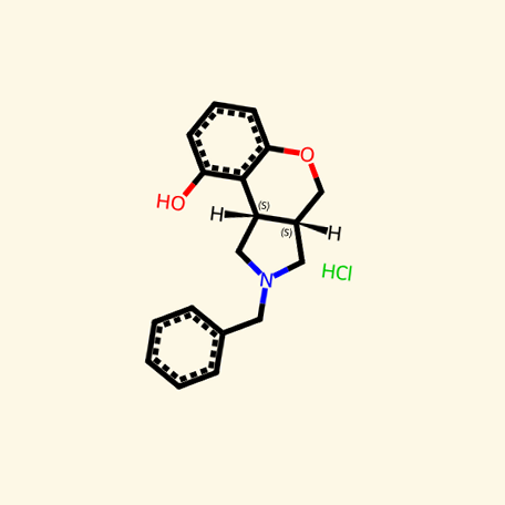 Cl.Oc1cccc2c1[C@H]1CN(Cc3ccccc3)C[C@H]1CO2